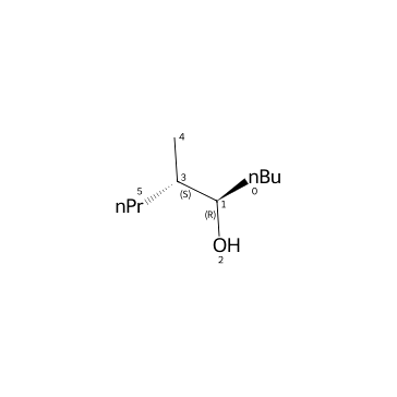 CCCC[C@@H](O)[C@@H](C)CCC